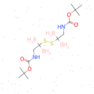 BC(B)(CNC(=O)OC(C)(C)C)SSC(B)(B)CNC(=O)OC(C)(C)C